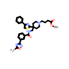 CC(C)(C)OC(=O)CCCN1CCC(CNC(=O)c2cccc(-c3noc(C(F)(F)F)n3)c2)(c2nc(-c3ccccc3)cs2)CC1